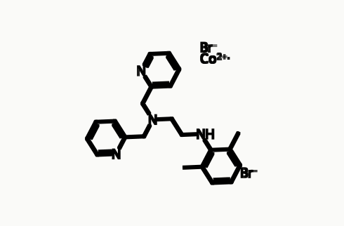 Cc1cccc(C)c1NCCN(Cc1ccccn1)Cc1ccccn1.[Br-].[Br-].[Co+2]